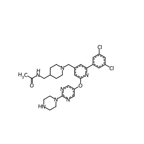 CC(=O)NCC1CCN(Cc2cc(Oc3cnc(N4CCNCC4)nc3)nc(-c3cc(Cl)cc(Cl)c3)c2)CC1